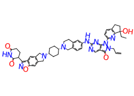 C=CCn1c(=O)c2cnc(Nc3ccc4c(c3)CCN([C@H]3CC[C@@H](N5Cc6cc7onc(C8CCC(=O)NC8=O)c7cc6C5)CC3)C4)nc2n1-c1ccc2c(n1)[C@@](O)(CC)CC2